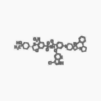 CC(C)c1ccccc1[C@H]1CCCN1C1CC2(CCN(c3ccc(C(=O)NS(=O)(=O)c4cc5c(c([N+](=O)[O-])c4)S[C@@H](C4CCC(C)(O)CC4)CO5)c(Oc4cnc5[nH]cc(Cl)c5c4)c3)CC2)C1